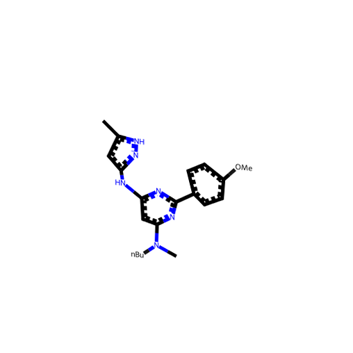 CCCCN(C)c1cc(Nc2cc(C)[nH]n2)nc(-c2ccc(OC)cc2)n1